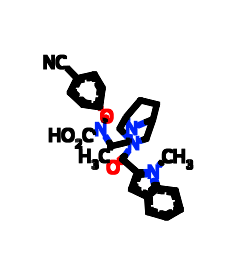 CC(CN1C2CCC1CN(C(=O)c1cc3ccccc3n1C)C2)N(Oc1ccc(C#N)cc1)C(=O)O